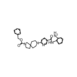 Nc1ccccc1NC(=O)c1ccc(N2CCC3(CCN(C(=O)OCc4ccccc4)C3)CC2)nc1